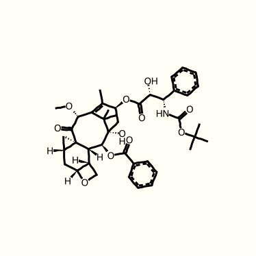 CO[C@H]1C(=O)[C@]23C[C@H]2C[C@H]2OC[C@H]2[C@H]3[C@H](OC(=O)c2ccccc2)[C@]2(O)C[C@H](OC(=O)[C@H](O)[C@@H](NC(=O)OC(C)(C)C)c3ccccc3)C(C)=C1C2(C)C